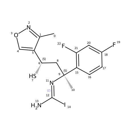 Cc1nocc1[C@@H](S)C[C@](C)(/N=C(/N)I)c1ccc(F)cc1F